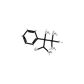 CCCC(CC)C(C)(c1ccccc1)C(C)(C)F